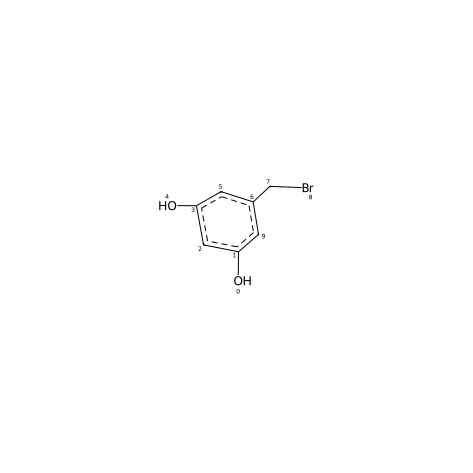 Oc1cc(O)cc(CBr)c1